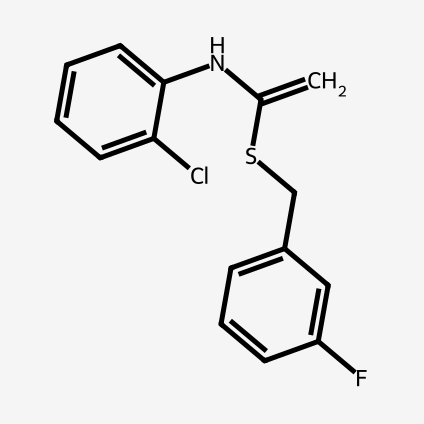 C=C(Nc1ccccc1Cl)SCc1cccc(F)c1